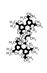 C[C@H](C[C@@H](C)Op1oc2c(C(C)(C)C)cc(C(C)(C)C)cc2c2cc(C(C)(C)C)cc(C(C)(C)C)c2o1)Op1oc2c(C(C)(C)C)cc(C(C)(C)C)cc2c2cc(C(C)(C)C)cc(C(C)(C)C)c2o1